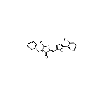 O=C1C(=Cc2ccc(-c3ccccc3Cl)o2)SC(=S)N1Cc1ccccc1